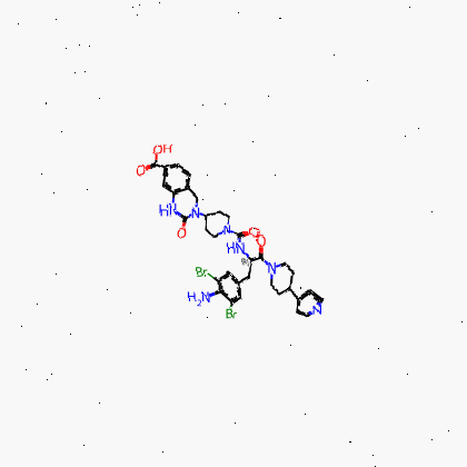 Nc1c(Br)cc(C[C@@H](NC(=O)N2CCC(N3Cc4ccc(C(=O)O)cc4NC3=O)CC2)C(=O)N2CCC(c3ccncc3)CC2)cc1Br